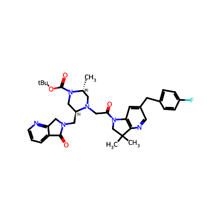 C[C@@H]1CN(CC(=O)N2CC(C)(C)c3ncc(Cc4ccc(F)cc4)cc32)[C@@H](CN2Cc3ncccc3C2=O)CN1C(=O)OC(C)(C)C